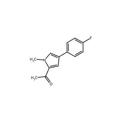 CC(=O)c1cc(-c2ccc(F)cc2)cn1C